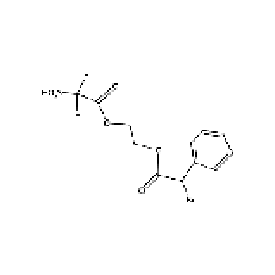 O=C(OCCOC(=O)C(F)(F)S(=O)(=O)O)C(Br)c1ccccc1